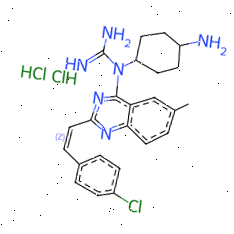 Cc1ccc2nc(/C=C\c3ccc(Cl)cc3)nc(N(C(=N)N)C3CCC(N)CC3)c2c1.Cl.Cl